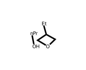 CCC1COC1.CCCO